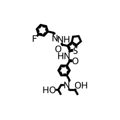 CC(O)CN(Cc1cccc(C(=O)Nc2sc3c(c2C(=O)NN=Cc2cccc(F)c2)CCC3)c1)CC(C)O